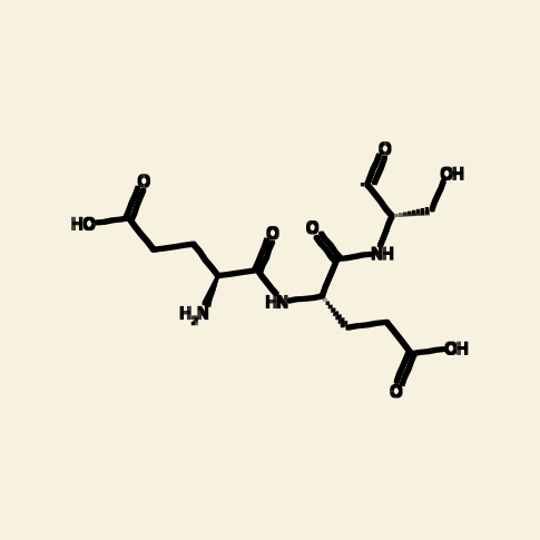 N[C@@H](CCC(=O)O)C(=O)N[C@@H](CCC(=O)O)C(=O)N[C@H]([C]=O)CO